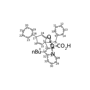 CCCCc1c(C2(S(=O)(=O)C(C(=O)O)c3ccccc3)C=CC(c3ccccc3)C=C2)cn2ccccc12